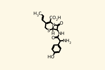 CC=CC1=C(C(=O)O)N2C(=O)C(NC(=O)C(N)c3ccc(O)cc3)[C@@H]2SC1